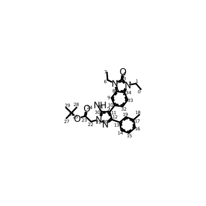 CCn1c(=O)n(CC)c2cc(-c3c(-c4cccc(C)c4)nn(CC(=O)OC(C)(C)C)c3N)ccc21